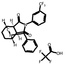 O=C(O)C(F)(F)F.O=C1[C@@H]2[C@H]3CC[C@@H]([C@@H]2C(=O)N1c1cccc(C(F)(F)F)c1)N(Cc1ccccc1)C3